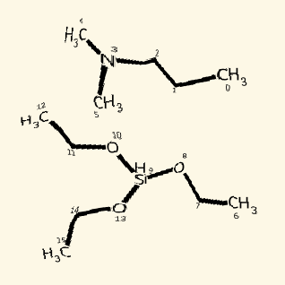 CCCN(C)C.CCO[SiH](OCC)OCC